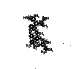 Cc1ccc(N(c2ccc(COCN(CO)c3nc(N(COC(C)C)CC(C)C)nc(N4CC(C)C(C)C4)n3)cc2)c2ccc(COCN(CC(C)C)c3nc(N4CC(C)C(C)C4)nc(N4CN(c5nc(N)nc(NCO)n5)CN(c5nc(N)nc(NCO)n5)C4)n3)cc2)cc1C